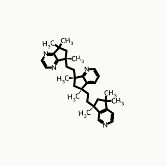 CC1(C)C[C@](C)(CC[C@@]2(C)C[C@](C)(CC[C@@]3(C)CC(C)(C)c4nccnc43)c3ncccc32)c2cnccc21